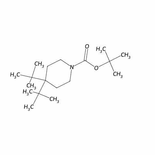 CC(C)(C)OC(=O)N1CCC(C(C)(C)C)(C(C)(C)C)CC1